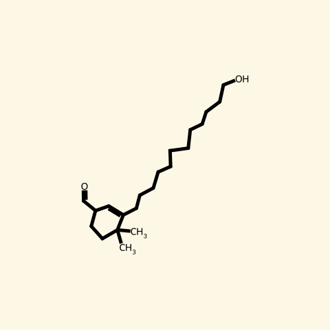 CC1(C)CCC(C=O)C=C1CCCCCCCCCCCCO